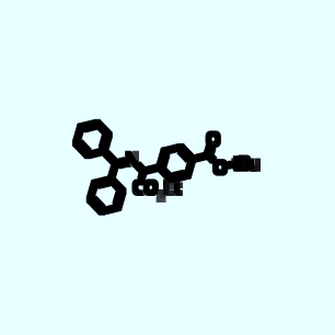 CCOC(=O)C(N=C(c1ccccc1)c1ccccc1)c1ccc(C(=O)OC(C)(C)C)cc1